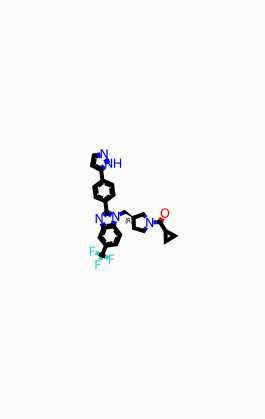 O=C(C1CC1)N1CC[C@@H](Cn2c(-c3ccc(-c4ccn[nH]4)cc3)nc3cc(C(F)(F)F)ccc32)C1